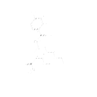 CCOCOC[C@H](C[C@H](COC)C(=O)NO)NC(=O)c1ccc(Br)cc1